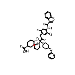 O=C(Nc1cc(F)c(CC(=O)C(O[C@H]2CC[C@H](C(=O)O)CC2)(N2CCCC2)N2CCC(Oc3ccccc3)CC2)cc1Cl)c1csc2ccccc12